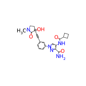 CN1CC[C@@](O)(C#Cc2cccc(-n3cc(NC(=O)C4CCC4)c(C(N)=O)n3)c2)C1=O